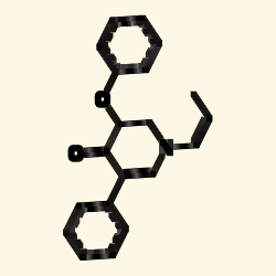 C/C=C\N1C=C(c2ccccc2)C(=O)C(Oc2ccccc2)C1